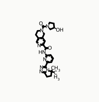 CC1(C)CCc2nnc(-c3cccc(NC(=O)c4cc5c(cn4)CCN(C(=O)N4CC[C@@H](O)C4)C5)n3)n21